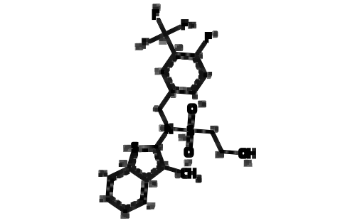 Cc1c(N(Cc2ccc(F)c(C(F)(F)F)c2)S(=O)(=O)CCO)sc2ccccc12